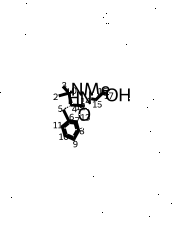 CNC(C)(C)[C@@H](Cc1ccccc1)C(=O)NCCO